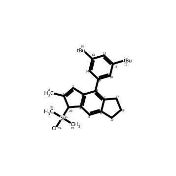 CC1=Cc2c(cc3c(c2-c2cc(C(C)(C)C)cc(C(C)(C)C)c2)CCC3)C1[Si](C)(C)Cl